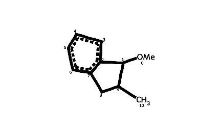 COC1c2[c]cccc2CC1C